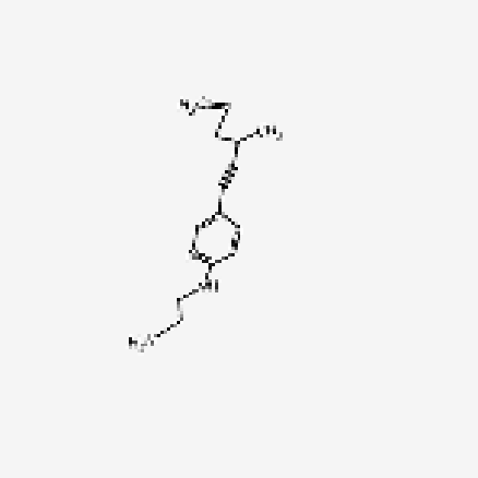 C=CCC(C)C#Cc1ccc(NCCN)nc1